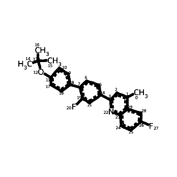 Cc1cc(-c2ccc(-c3ccc(OC(C)(C)C)cc3)c(F)c2)nc2ccc(F)cc12